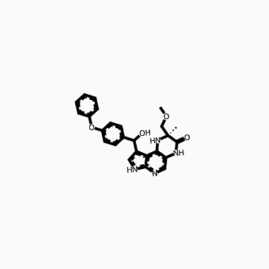 COC[C@]1(C)Nc2c(cnc3[nH]cc(C(O)c4ccc(Oc5ccccc5)cc4)c23)NC1=O